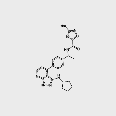 CC(NC(=O)c1nc(C(C)(C)C)no1)c1ccc(-c2ccnc3[nH]nc(NC4CCCC4)c23)cc1